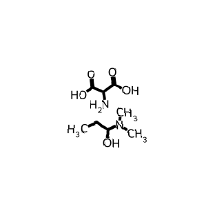 CCC(O)N(C)C.NC(C(=O)O)C(=O)O